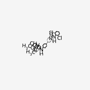 CN(CC(=O)Nc1ccc(C2CCN(C(=O)Nc3c(Cl)cccc3Cl)CC2)cc1)C(=O)OC(C)(C)C